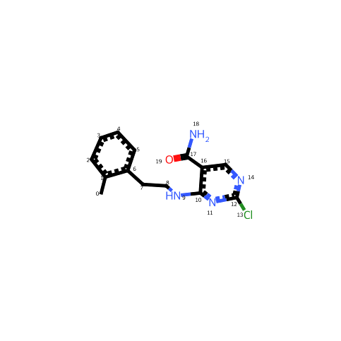 Cc1ccccc1CCNc1nc(Cl)ncc1C(N)=O